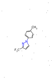 Cc1[c]cc(-n2ccc(C(F)(F)F)n2)cc1